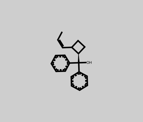 C/C=C\C1CC[C@H]1C(O)(c1ccccc1)c1ccccc1